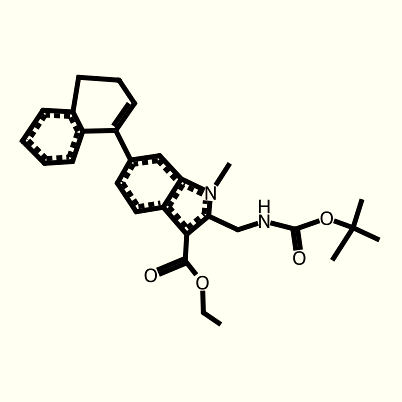 CCOC(=O)c1c(CNC(=O)OC(C)(C)C)n(C)c2cc(C3=CCCc4ccccc43)ccc12